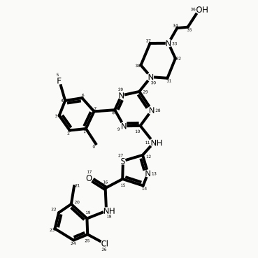 Cc1ccc(F)cc1-c1nc(Nc2ncc(C(=O)Nc3c(C)cccc3Cl)s2)nc(N2CCN(CCO)CC2)n1